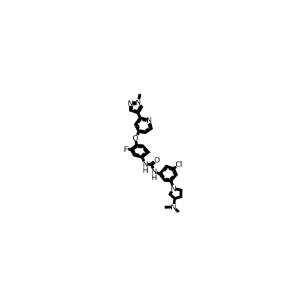 CN(C)C1CCN(c2cc(Cl)cc(NC(=O)Nc3ccc(Oc4ccnc(-c5cnn(C)c5)c4)c(F)c3)c2)C1